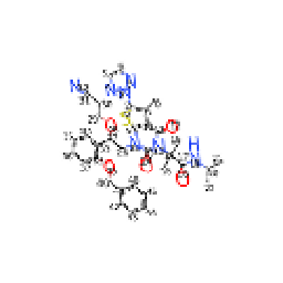 Cc1c(-n2nccn2)sc2c1c(=O)n(C(C)(C)C(=O)NC(C)C)c(=O)n2C[C@H](OCCC#N)c1ccccc1OCc1ccccc1